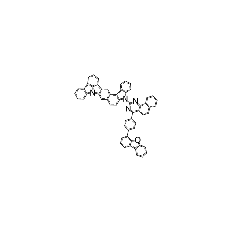 c1ccc2c(c1)ccc1c(-c3ccc(-c4cccc5c4oc4ccccc45)cc3)nc(-n3c4ccccc4c4c5cc6c7cccc8c9ccccc9n(c6cc5ccc43)c87)nc12